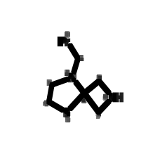 CC(C)CN1CCSC12CNC2